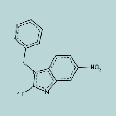 [2H]c1nc2cc([N+](=O)[O-])ccc2n1Cc1ccccc1